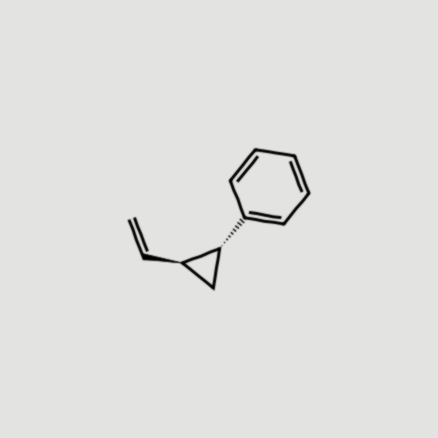 C=C[C@@H]1C[C@H]1c1ccccc1